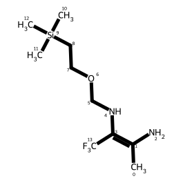 C/C(N)=C(/NCOCC[Si](C)(C)C)C(F)(F)F